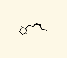 BrC/C=C\CCC1OCCO1